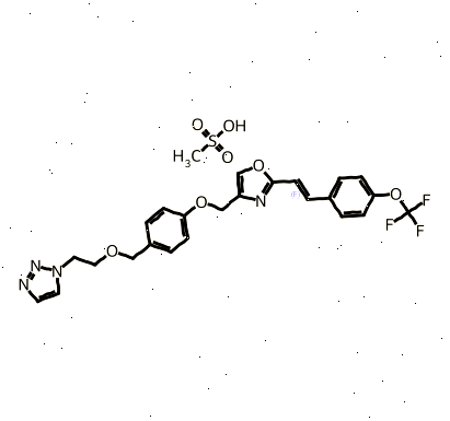 CS(=O)(=O)O.FC(F)(F)Oc1ccc(/C=C/c2nc(COc3ccc(COCCn4ccnn4)cc3)co2)cc1